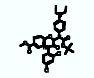 CCN(CC)c1ccc(N(C(=O)OC(C)(C)C)C(Oc2ccc(C(=O)OC)cc2)C(=O)Nc2ccc(Cl)cc2Cl)cc1